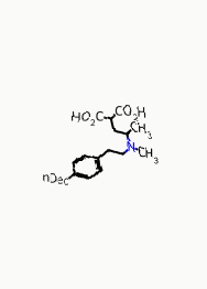 CCCCCCCCCCc1ccc(CCN(C)C(C)CC(C(=O)O)C(=O)O)cc1